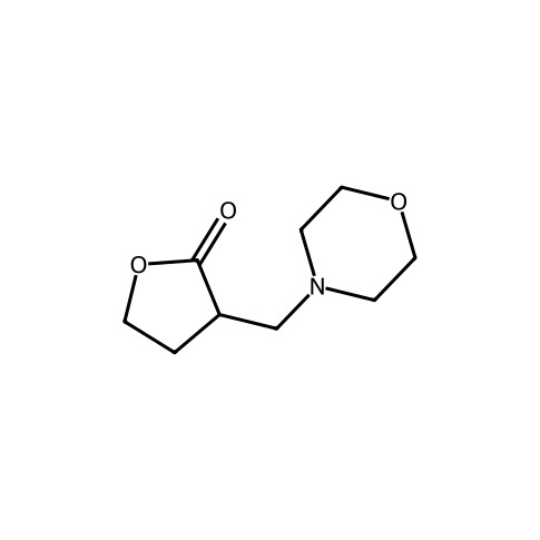 O=C1OCCC1CN1CCOCC1